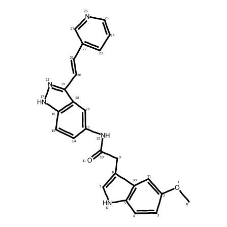 COc1ccc2[nH]cc(CC(=O)Nc3ccc4[nH]nc(C=Cc5cccnc5)c4c3)c2c1